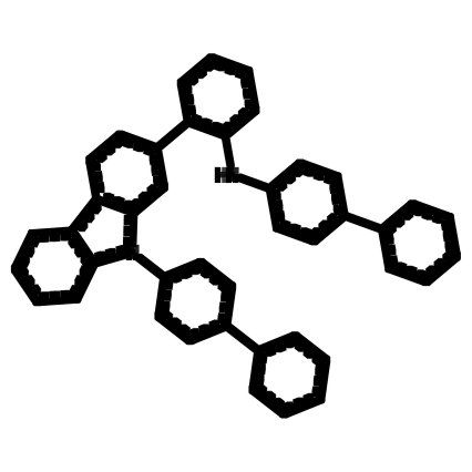 c1ccc(-c2ccc(Nc3ccccc3-c3ccc4c5ccccc5n(-c5ccc(-c6ccccc6)cc5)c4c3)cc2)cc1